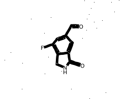 O=Cc1cc(F)c2c(c1)C(=O)NC2